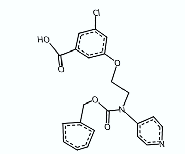 O=C(O)c1cc(Cl)cc(OCCN(C(=O)OCc2ccccc2)c2ccncc2)c1